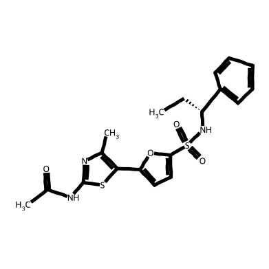 CC[C@@H](NS(=O)(=O)c1ccc(-c2sc(NC(C)=O)nc2C)o1)c1ccccc1